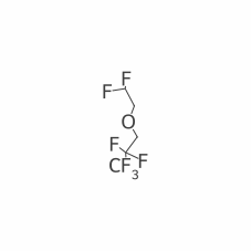 FC(F)COCC(F)(F)C(F)(F)F